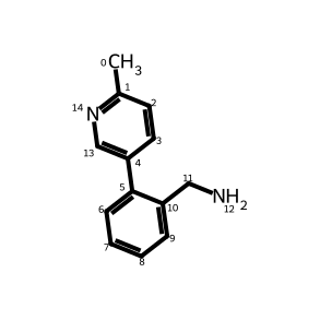 Cc1ccc(-c2ccccc2CN)cn1